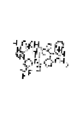 CC(=O)C(c1cc(C(=O)Nc2cc(-n3ccnc3CN(C)C)cc(C(F)(F)F)c2)ccc1C)c1cnc2ccccn12